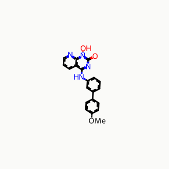 COc1ccc(-c2cccc(Nc3nc(=O)n(O)c4ncccc34)c2)cc1